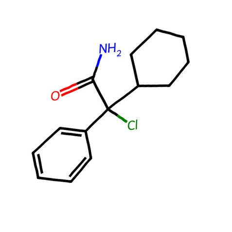 NC(=O)C(Cl)(c1ccccc1)C1CCCCC1